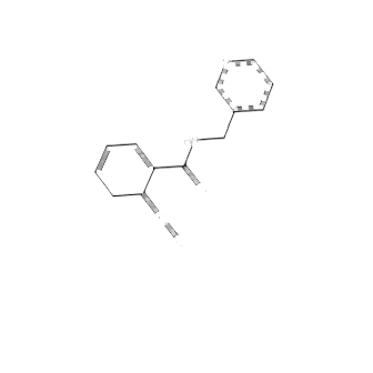 O=C=C1CC=CC=C1C(=O)NCc1cccnc1